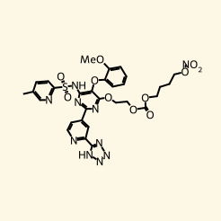 COc1ccccc1Oc1c(NS(=O)(=O)c2ccc(C)cn2)nc(-c2ccnc(-c3nnn[nH]3)c2)nc1OCCOC(=O)OCCCCO[N+](=O)[O-]